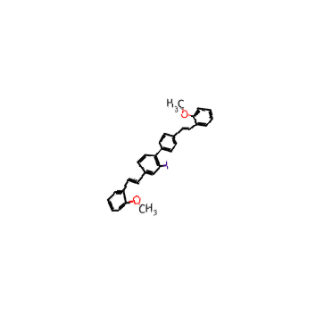 COc1ccccc1C=Cc1ccc(-c2ccc(C=Cc3ccccc3OC)cc2I)cc1